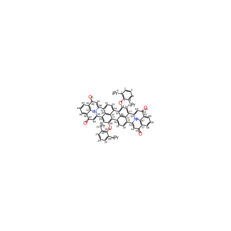 CC(C)c1cccc(C(C)C)c1Oc1cc2c3c(ccc4c5c(Oc6c(C(C)C)cccc6C(C)C)cc6c7c(ccc(c1c43)c57)c1cc(=O)c3cccc4c(=O)cc6n1c34)c1cc(=O)c3cccc4c(=O)cc2n1c34